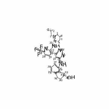 CC(C)CN1CCCC[C@@H]1CNc1nc(C(F)(F)F)ccc1-c1cc(Nc2cccc3c2C[C@H](O)CC3)ncn1